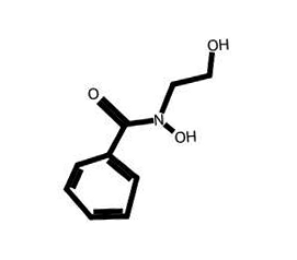 O=C(c1ccccc1)N(O)CCO